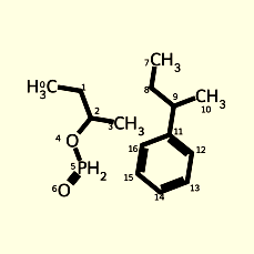 CCC(C)O[PH2]=O.CCC(C)c1ccccc1